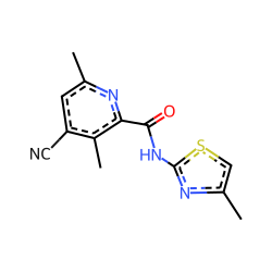 Cc1csc(NC(=O)c2nc(C)cc(C#N)c2C)n1